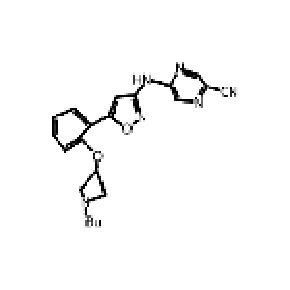 CCC(C)N1CC(Oc2ccccc2-c2cc(Nc3cnc(C#N)cn3)no2)C1